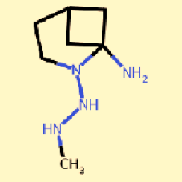 CNNN1CCC2CC1(N)C2